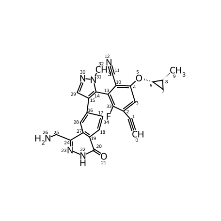 C#Cc1cc(O[C@H]2C[C@H]2C)c(C#N)c(-c2c(-c3ccc4c(=O)[nH]nc(CN)c4c3)cnn2C)c1F